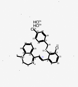 CN1CCN=C(/C=C/c2cccc(Cl)c2SCc2ccc(Cl)cc2)c2ccccc21.Cl.Cl